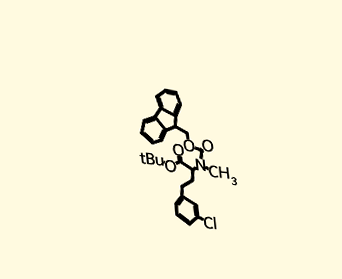 CN(C(=O)OCC1c2ccccc2-c2ccccc21)C(CCc1cccc(Cl)c1)C(=O)OC(C)(C)C